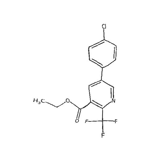 CCOC(=O)c1cc(-c2ccc(Cl)cc2)cnc1C(F)(F)F